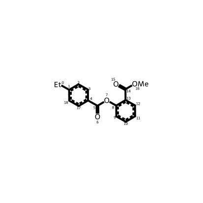 CCc1ccc(C(=O)Oc2ccccc2C(=O)OC)cc1